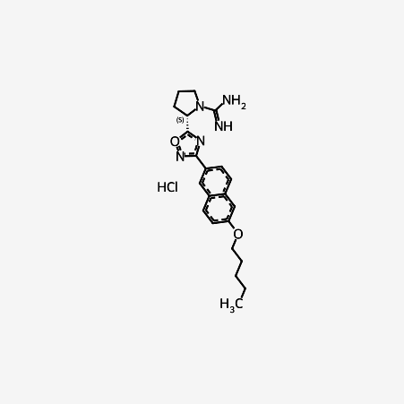 CCCCCOc1ccc2cc(-c3noc([C@@H]4CCCN4C(=N)N)n3)ccc2c1.Cl